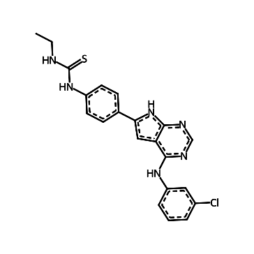 CCNC(=S)Nc1ccc(-c2cc3c(Nc4cccc(Cl)c4)ncnc3[nH]2)cc1